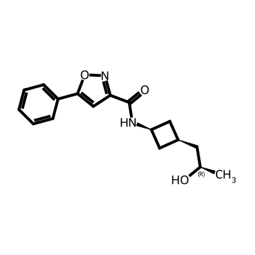 C[C@@H](O)C[C@H]1C[C@@H](NC(=O)c2cc(-c3ccccc3)on2)C1